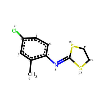 Cc1cc(Cl)ccc1N=C1SCCS1